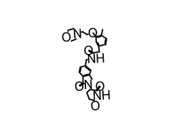 Cc1ccc(CC(=O)NCc2ccc3c(c2)CN(C2CCC(=O)NC2=O)C3=O)cc1OCCN1CCOCC1